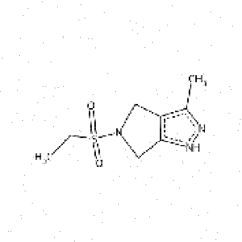 CCS(=O)(=O)N1Cc2[nH]nc(C)c2C1